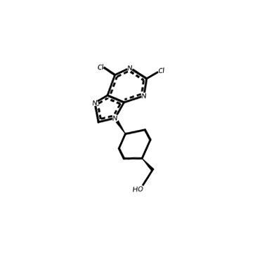 OC[C@H]1CC[C@@H](n2cnc3c(Cl)nc(Cl)nc32)CC1